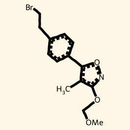 COCOc1noc(-c2ccc(CCBr)cc2)c1C